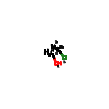 CO.[Mg+2][Cl]